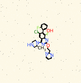 C[C@H]1CNCCN1c1nc(OCCc2ncccn2)nc2c(F)c(-c3c(O)cccc3F)c(Cl)cc12